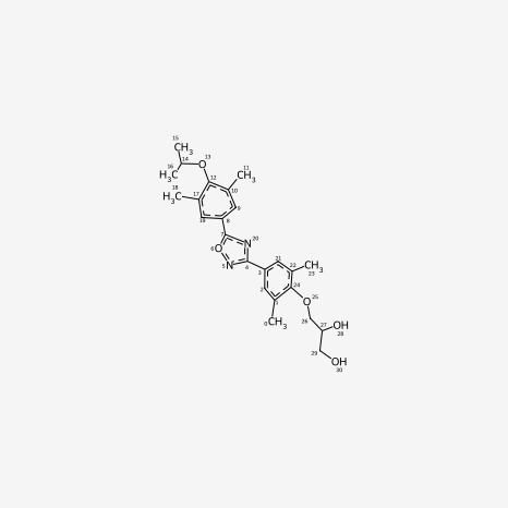 Cc1cc(-c2noc(-c3cc(C)c(OC(C)C)c(C)c3)n2)cc(C)c1OCC(O)CO